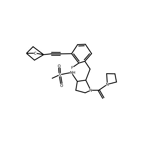 C=C(N1CCC1)N1CCC(NS(C)(=O)=O)C1Cc1cccc(C#CC23CC(C2)C3)c1F